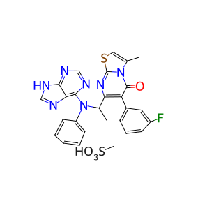 CS(=O)(=O)O.Cc1csc2nc(C(C)N(c3ccccc3)c3ncnc4[nH]cnc34)c(-c3cccc(F)c3)c(=O)n12